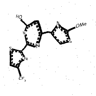 COc1nc(-c2cc(O)nc(-c3nc(C(F)(F)F)cs3)n2)cs1